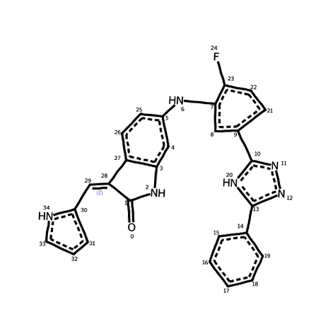 O=C1Nc2cc(Nc3cc(-c4nnc(-c5ccccc5)[nH]4)ccc3F)ccc2/C1=C/c1ccc[nH]1